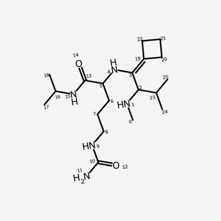 CNC(C(NC(CCCNC(N)=O)C(=O)NC(C)C)=C1CCC1)C(C)C